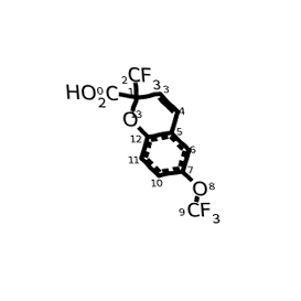 O=C(O)C1(C(F)(F)F)C=Cc2cc(OC(F)(F)F)ccc2O1